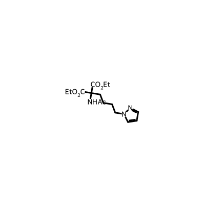 CCOC(=O)C(CCCCn1cccn1)(NC(C)=O)C(=O)OCC